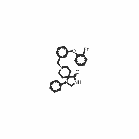 CCc1ccccc1Oc1cccc(CN2CCC3(CC2)C(=O)NCN3c2ccccc2)c1